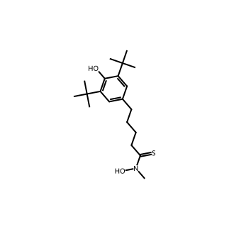 CN(O)C(=S)CCCCc1cc(C(C)(C)C)c(O)c(C(C)(C)C)c1